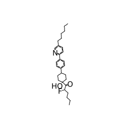 CCCCCCc1ccc(-c2ccc(C3CCC(O)(C(=O)C(F)CCCC)CC3)cc2)nc1